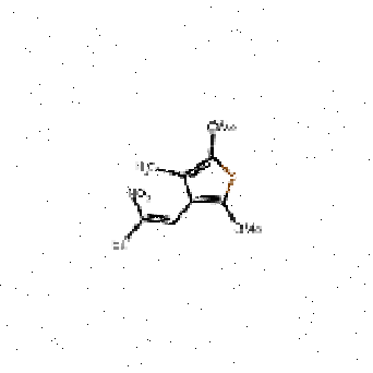 CCC(=Cc1c(OC)sc(OC)c1C)[N+](=O)[O-]